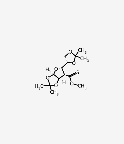 COC(=S)[C@H]1[C@H]2OC(C)(C)O[C@H]2O[C@@H]1[C@@H]1COC(C)(C)O1